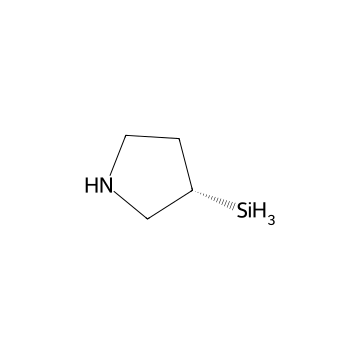 [SiH3][C@H]1CCNC1